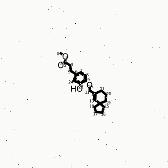 COC(=O)CCc1ccc(OCC2=CC3(CCCC3)CCC2)c(O)c1